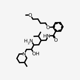 COCCCCOc1ccccc1C(=O)NCC(CC(N)C(O)CN1CCCC(C)C1)C(C)C